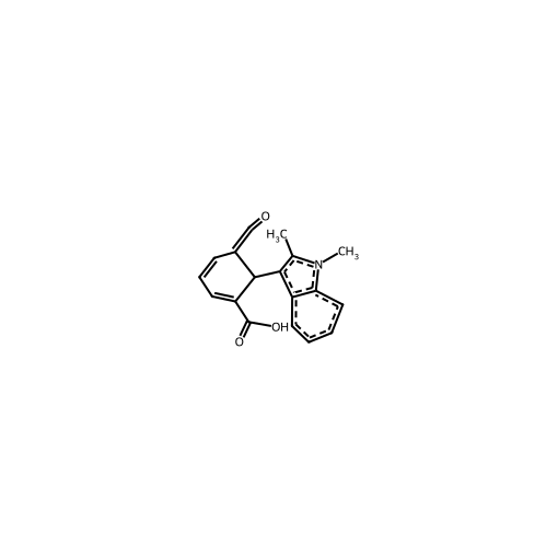 Cc1c(C2C(=C=O)C=CC=C2C(=O)O)c2ccccc2n1C